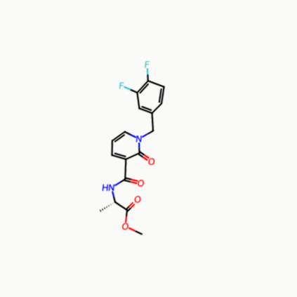 COC(=O)[C@H](C)NC(=O)c1cccn(Cc2ccc(F)c(F)c2)c1=O